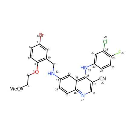 COCCOc1ccc(Br)cc1CNc1ccc2ncc(C#N)c(Nc3ccc(F)c(Cl)c3)c2c1